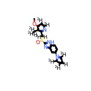 [2H]c1nc(C([2H])([2H])[S+]([O-])c2nc3cc(-n4c([2H])c([2H])c([2H])c4[2H])ccc3[nH]2)c(C([2H])([2H])[2H])c(OC)c1[2H]